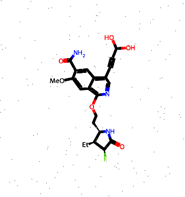 CC[C@@H]1[C@H](F)C(=O)N[C@@H]1CCOc1ncc(C#CC(O)O)c2cc(C(N)=O)c(OC)cc12